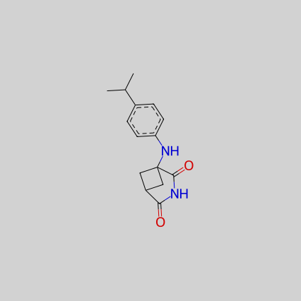 CC(C)c1ccc(NC23CC(C2)C(=O)NC3=O)cc1